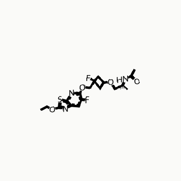 CCOc1nc2cc(F)c(OCC3(F)CC(OC[C@H](C)NC(C)=O)C3)nc2s1